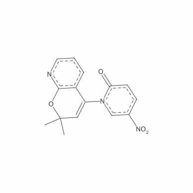 CC1(C)C=C(n2cc([N+](=O)[O-])ccc2=O)c2cccnc2O1